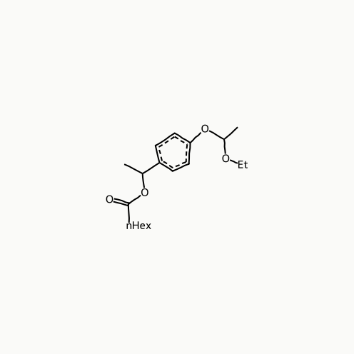 CCCCCCC(=O)OC(C)c1ccc(OC(C)OCC)cc1